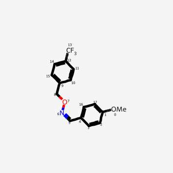 COc1ccc(/[C]=N\OCc2ccc(C(F)(F)F)cc2)cc1